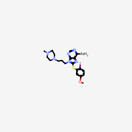 COc1ccc(I)c(Sc2nc3c([AsH2])ncnc3n2CCCN2CCN(C)CC2)c1